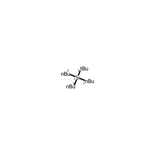 CCCC[Si](CCCC)(CCCC)C(C)(C)C